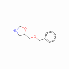 c1ccc(COCC2CNCO2)cc1